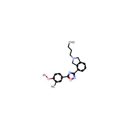 CC(C)Oc1ccc(-c2nc(-c3cccc4c3CN(CCCC=O)C4)no2)cc1C#N